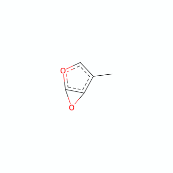 Cc1coc2c1O2